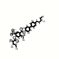 CC[C@H](C)CCc1ccc(-c2ccc(OC(=O)c3cc([N+](=O)[O-])c(OC(=O)[C@@H](F)[C@@H](C)CC)cc3N(C)C)cc2)cc1